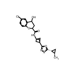 C[C@@H]1C[C@H]1c1nnc(C23CC(NC(=O)C4CC(O)c5cc(Cl)ccc5O4)(C2)C3)o1